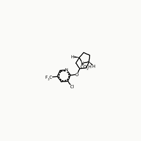 O=C(O)N1[C@@H]2CC[C@H]1CC(Oc1ncc(C(F)(F)F)cc1Cl)C2